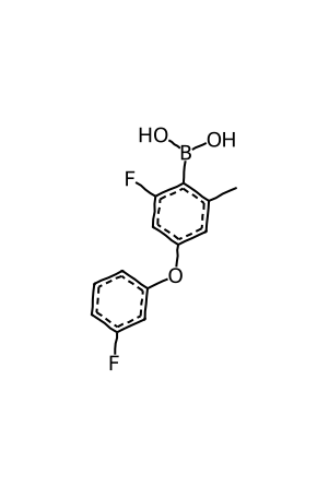 Cc1cc(Oc2cccc(F)c2)cc(F)c1B(O)O